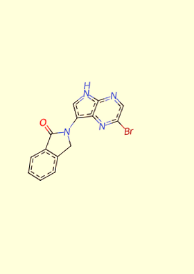 O=C1c2ccccc2CN1c1c[nH]c2ncc(Br)nc12